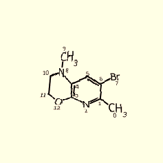 Cc1nc2c(cc1Br)N(C)CCO2